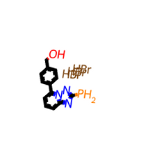 Br.Br.Br.OCc1ccc(-c2cccc3nc(P)nn23)cc1